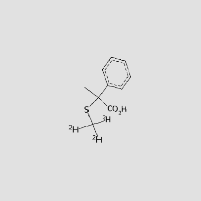 [2H]C([2H])([2H])SC(C)(C(=O)O)c1ccccc1